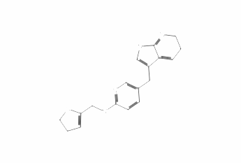 C1=C(CNc2ccc(Cc3c[nH]c4c3=CCCN=4)cn2)SCC1